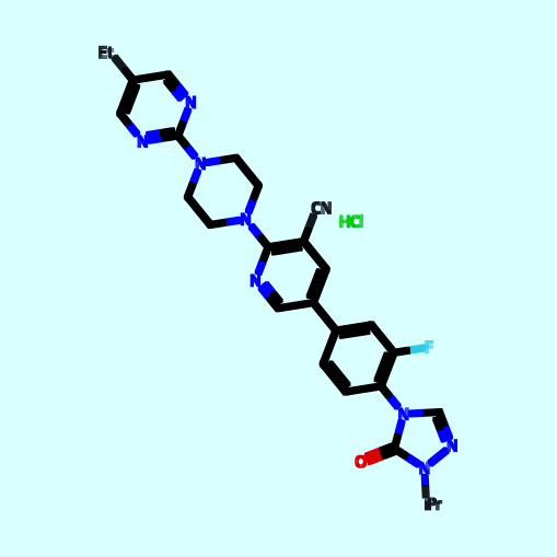 CCc1cnc(N2CCN(c3ncc(-c4ccc(-n5cnn(C(C)C)c5=O)c(F)c4)cc3C#N)CC2)nc1.Cl